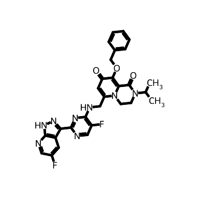 CC(C)N1CCn2c(CNc3nc(-c4n[nH]c5ncc(F)cc45)ncc3F)cc(=O)c(OCc3ccccc3)c2C1=O